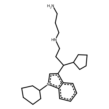 NCCCNCCC(c1cn(C2CCCCC2)c2ccccc12)C1CCCC1